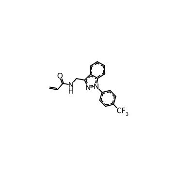 C=CC(=O)NCc1nn(-c2ccc(C(F)(F)F)cc2)c2ccccc12